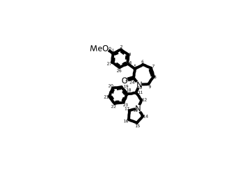 COc1ccc(C2CC=CCN(C(CN3CCCC3)c3ccccc3)C2=O)cc1